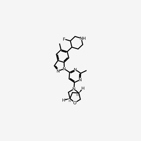 Cc1nc(N2C[C@@H]3C[C@H]2CO3)cc(-n2ncc3cc(C)c(C4CCNCC4F)cc32)n1